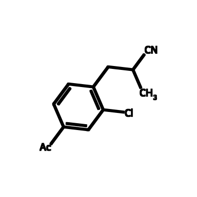 CC(=O)c1ccc(CC(C)C#N)c(Cl)c1